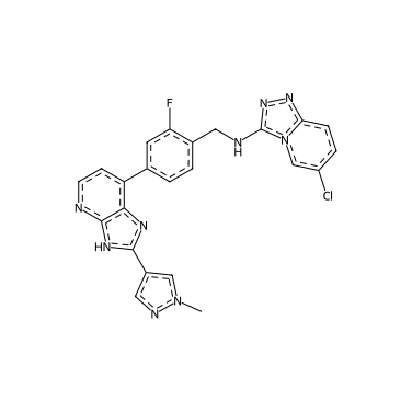 Cn1cc(-c2nc3c(-c4ccc(CNc5nnc6ccc(Cl)cn56)c(F)c4)ccnc3[nH]2)cn1